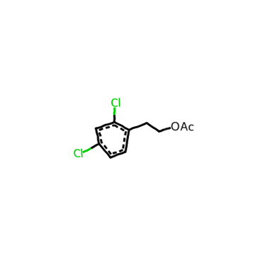 CC(=O)OCCc1ccc(Cl)cc1Cl